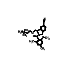 COc1cc(C)cc(C)c1C(=O)N1Cc2ccc(C#N)cc2C1COCC[Si](C)(C)C